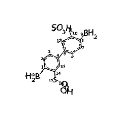 Bc1ccc(-c2ccc(B)c(S(=O)(=O)O)c2)cc1SOO